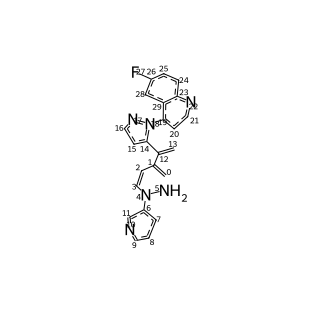 C=C(/C=C\N(N)c1cccnc1)C(=C)c1ccnn1-c1ccnc2ccc(F)cc12